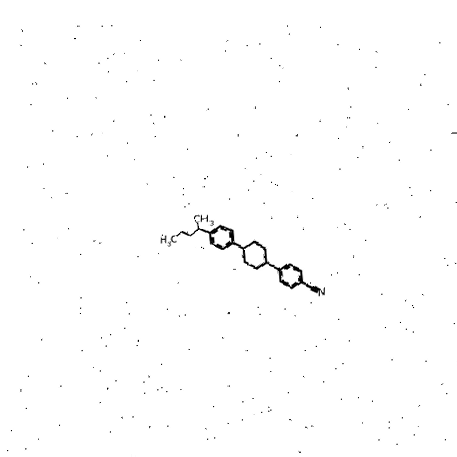 CCCC(C)c1ccc(C2CCC(c3ccc(C#N)cc3)CC2)cc1